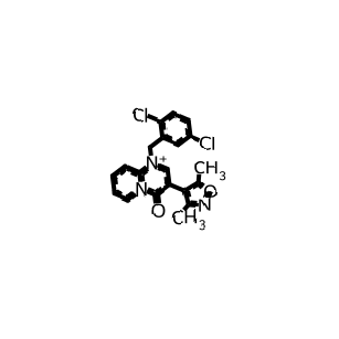 Cc1noc(C)c1-c1c[n+](Cc2cc(Cl)ccc2Cl)c2ccccn2c1=O